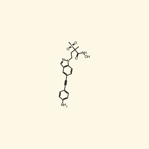 CC(CCn1ncc2cc(C#Cc3ccc(N)cc3)ccc21)(C(=O)NO)S(C)(=O)=O